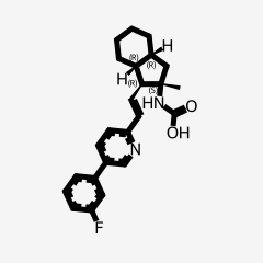 C[C@]1(NC(=O)O)C[C@H]2CCCC[C@H]2[C@@H]1C=Cc1ccc(-c2cccc(F)c2)cn1